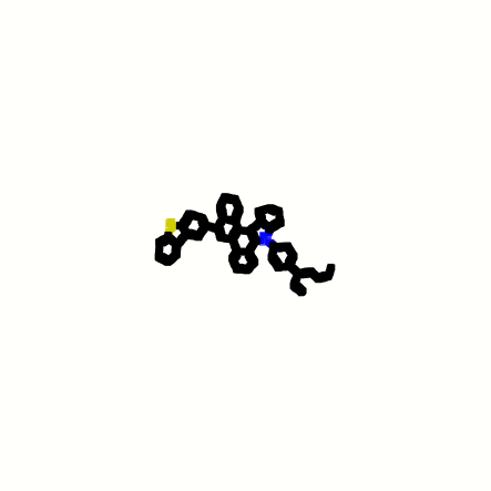 C=C/C(=C\C=C/C)c1ccc(-n2c3ccccc3c3c4c5ccccc5c(-c5ccc6sc7ccccc7c6c5)cc4c4ccccc4c32)cc1